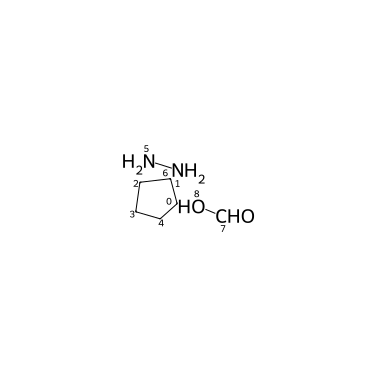 C1CCCC1.NN.O=CO